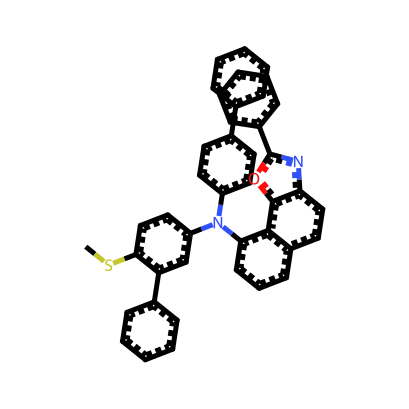 CSc1ccc(N(c2ccc(-c3ccccc3)cc2)c2cccc3ccc4nc(-c5ccccc5)oc4c23)cc1-c1ccccc1